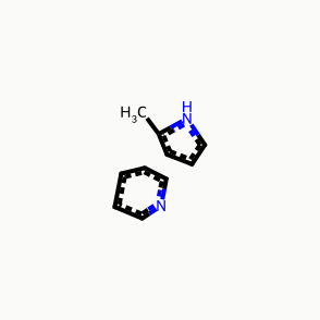 Cc1ccc[nH]1.c1ccncc1